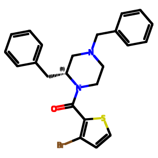 O=C(c1sccc1Br)N1CCN(Cc2ccccc2)C[C@H]1Cc1ccccc1